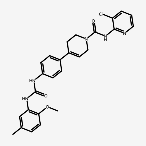 COc1ccc(C)cc1NC(=O)Nc1ccc(C2=CCN(C(=O)Nc3ncccc3Cl)CC2)cc1